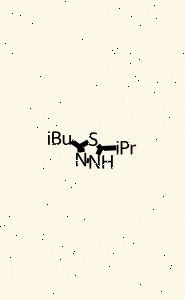 CCC(C)C1=NNC(C(C)C)S1